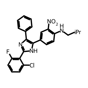 CC(C)CNc1ccc(-c2[nH]c(-c3c(F)cccc3Cl)nc2-c2ccccc2)cc1[N+](=O)[O-]